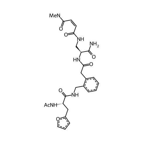 CNC(=O)/C=C\C(=O)NC[C@H](NC(=O)Cc1ccccc1CNC(=O)[C@H](Cc1ccco1)NC(C)=O)C(N)=O